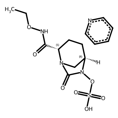 CCONC(=O)[C@@H]1CC[C@@H]2CN1C(=O)N2OS(=O)(=O)O.c1ccncc1